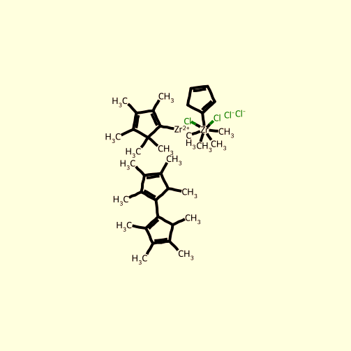 CC1=C(C)C(C)(C)[C]([Zr+2])=C1C.CC1=C(C)C(C)C(C2=C(C)C(C)=C(C)C2C)=C1C.[CH3][Zr]([CH3])([CH3])([CH3])([Cl])([Cl])[C]1=CC=CC1.[Cl-].[Cl-]